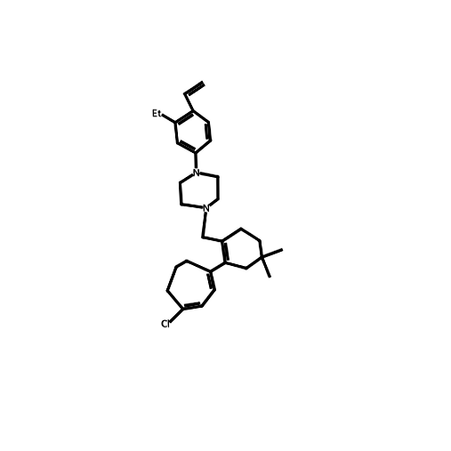 C=Cc1ccc(N2CCN(CC3=C(C4=CC=C(Cl)CCC4)CC(C)(C)CC3)CC2)cc1CC